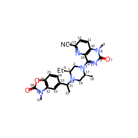 CC[C@H]1CN(c2nc(=O)n(C)c3ccc(C#N)nc23)[C@@H](C)CN1C(C)c1ccc2oc(=O)n(C)c2c1